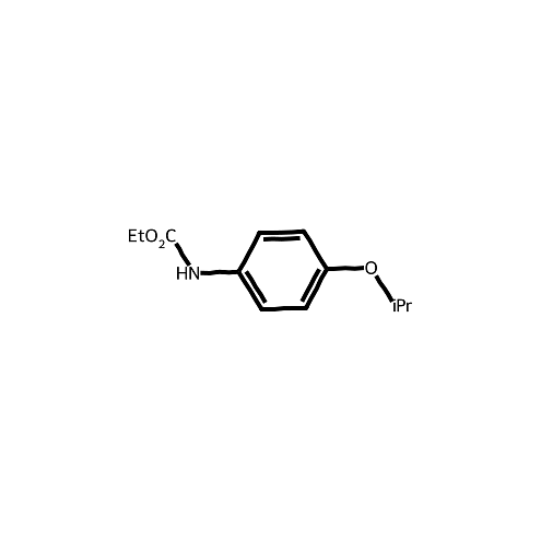 CCOC(=O)Nc1ccc(OC(C)C)cc1